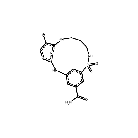 NC(=O)c1cc2cc(c1)S(=O)(=O)NCCCNc1nc(ncc1Br)N2